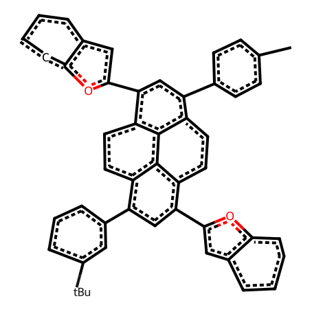 Cc1ccc(-c2cc(-c3cc4ccccc4o3)c3ccc4c(-c5cccc(C(C)(C)C)c5)cc(-c5cc6ccccc6o5)c5ccc2c3c45)cc1